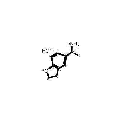 C[C@H](N)c1ccc2c(c1)CCO2.Cl